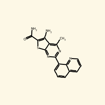 Cc1nc(-c2cccc3cccnc23)nc2sc(C(N)=O)c(N)c12